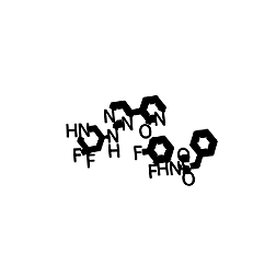 O=S(=O)(Cc1ccccc1)Nc1ccc(Oc2ncccc2-c2ccnc(N[C@@H]3CNCC(F)(F)C3)n2)c(F)c1F